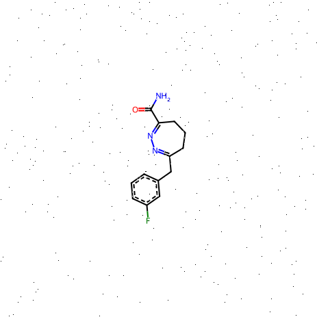 NC(=O)C1=NN=C(Cc2cccc(F)c2)CCC1